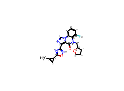 CC1CC1c1nc(-c2ncn3c2c(=O)n(CC2CCCO2)c2c(F)cccc23)no1